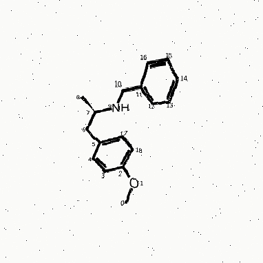 COc1ccc(C[C@@H](C)NCc2ccccc2)cc1